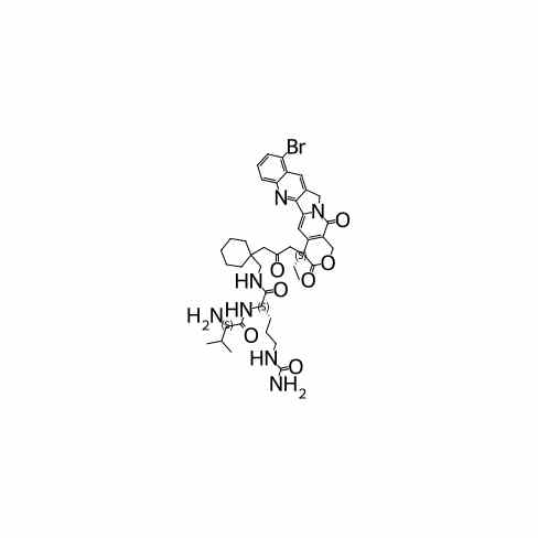 CC[C@@]1(CC(=O)CC2(CNC(=O)[C@H](CCCNC(N)=O)NC(=O)[C@@H](N)C(C)C)CCCCC2)C(=O)OCc2c1cc1n(c2=O)Cc2cc3c(Br)cccc3nc2-1